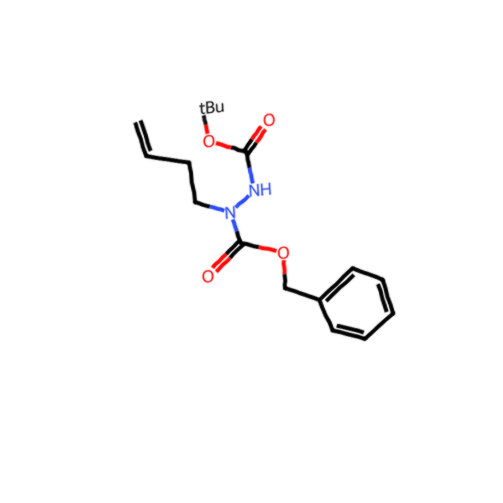 C=CCCN(NC(=O)OC(C)(C)C)C(=O)OCc1ccccc1